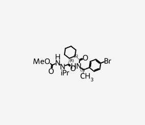 COC(=O)NN(C(=O)[C@@H]1CCCC[C@@H]1C(=O)N[C@@H](C)c1ccc(Br)cc1)C(C)C